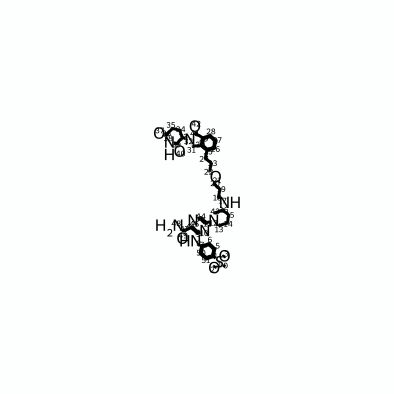 CS(=O)(=O)c1ccc(Nc2nc(N3CCC[C@@H](NCCCOCCCc4cccc5c4CN(C4CCC(=O)NC4=O)C5=O)C3)cnc2C(N)=O)cc1